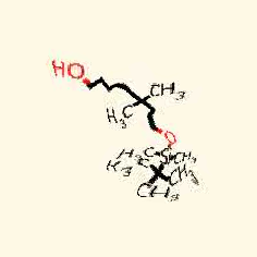 CC(C)(CCCCO)CCO[Si](C)(C)C(C)(C)C